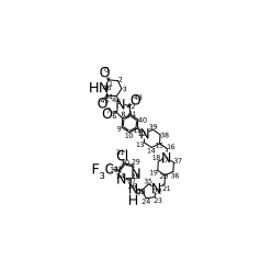 O=C1CCC(N2C(=O)c3ccc(N4CCC(CN5CCC(CN6CC[C@@H](Nc7ncc(Cl)c(C(F)(F)F)n7)C6)CC5)CC4)cc3C2=O)C(=O)N1